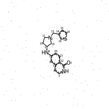 O=c1[nH]ccc2cc(N[C@H]3CCN(Cc4ccsc4)C3)ccc12